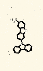 Nc1ccc2oc3cc(-n4c5ccccc5c5ccccc54)ccc3c2c1